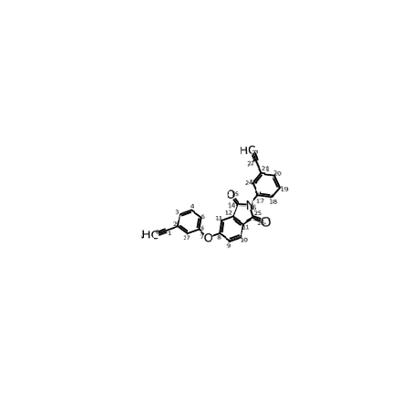 C#Cc1cccc(Oc2ccc3c(c2)C(=O)N(c2cccc(C#C)c2)C3=O)c1